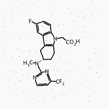 CN(c1nccc(C(F)(F)F)n1)[C@H]1CCc2c(c3cc(F)ccc3n2CC(=O)O)C1